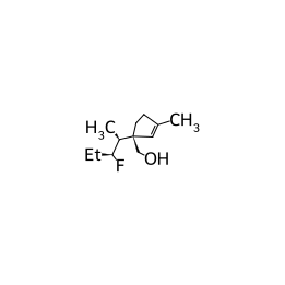 CC[C@H](F)[C@@H](C)[C@@]1(CO)C=C(C)CC1